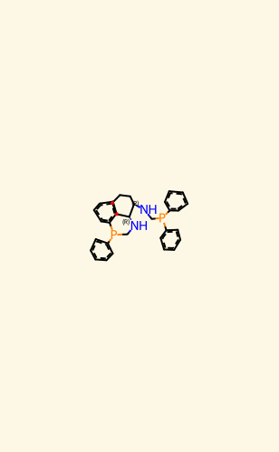 c1ccc(P(CN[C@@H]2CCCC[C@H]2NCP(c2ccccc2)c2ccccc2)c2ccccc2)cc1